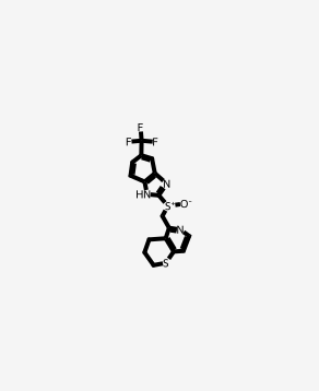 [O-][S+](Cc1nccc2c1CCCS2)c1nc2cc(C(F)(F)F)ccc2[nH]1